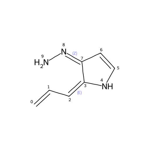 C=C/C=C1/NC=C/C1=N/N